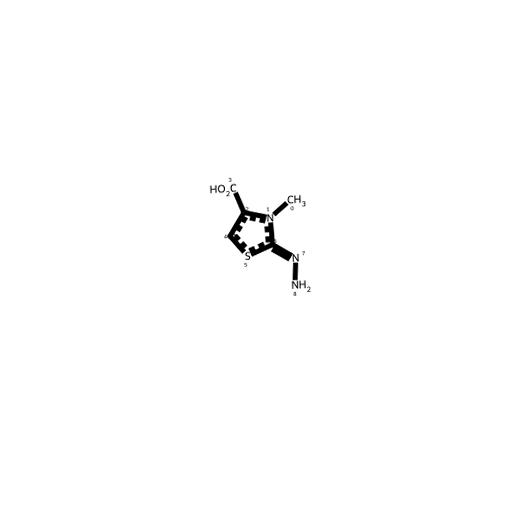 Cn1c(C(=O)O)csc1=NN